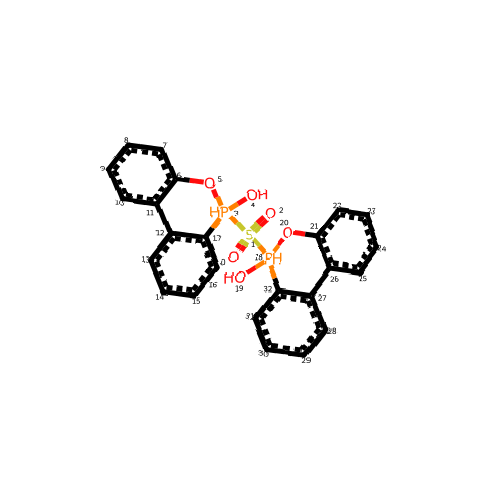 O=S(=O)([PH]1(O)Oc2ccccc2-c2ccccc21)[PH]1(O)Oc2ccccc2-c2ccccc21